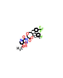 COc1ccnc(C(=O)N[C@H]2COC[C@H](Cc3ccc(C(F)(F)F)cc3)[C@@H](Cc3ccc(F)cc3)[C@H](C)OC2=O)c1O